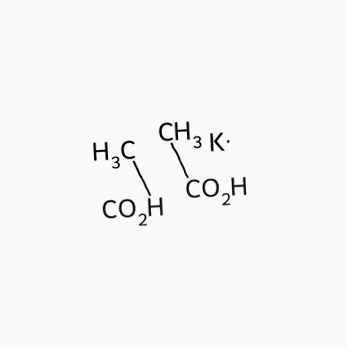 CC(=O)O.CC(=O)O.[K]